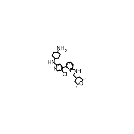 C[C@@H]1CC(CNc2cccc(-c3cc(NC4CCC(N)CC4)ncc3Cl)n2)C[C@H](C)O1